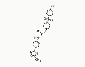 Cc1nc(-c2ccc(NCC(O)CN3CCN(S(=O)(=O)c4ccc(C(C)C)cc4)CC3)cc2)no1